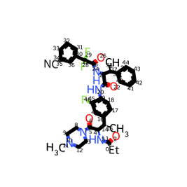 CCC(=O)N[C@@H](C(=O)N1CCN(C)CC1)[C@@H](C)c1ccc(NC(=O)C(NC(=O)C(F)(F)c2cccc(C#N)c2)[C@@H](C)c2ccccc2)c(F)c1